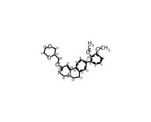 COc1cccc(-c2ccc3c(c2)CCN2CN=C(OCC4COCCO4)C=C32)c1OC